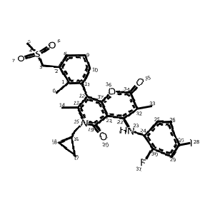 Cc1c(CS(C)(=O)=O)cccc1-c1c(C)n(C2CC2)c(=O)c2c(Nc3ccc(I)cc3F)c(C)c(=O)oc12